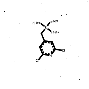 CCCCCC[Si](CCCCCC)(CCCCCC)Cc1cc(Cl)nc(Cl)c1